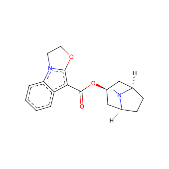 CN1[C@@H]2CC[C@H]1C[C@@H](OC(=O)c1c3n(c4ccccc14)CCO3)C2